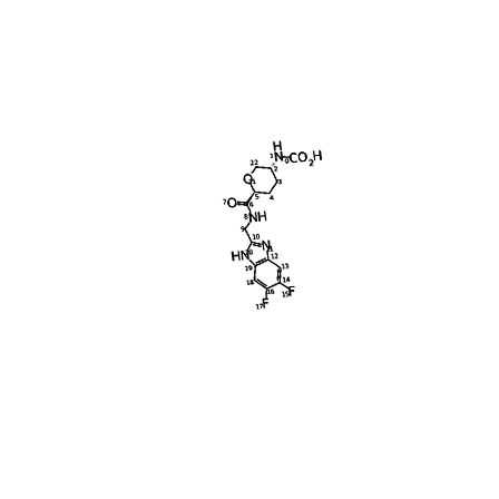 O=C(O)N[C@@H]1CC[C@@H](C(=O)NCc2nc3cc(F)c(F)cc3[nH]2)OC1